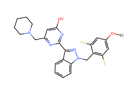 CCOc1cc(F)c(Cn2nc(-c3nc(O)cc(CN4CCCCC4)n3)c3ccccc32)c(F)c1